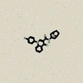 CN1C2CCC1CC(NC(=O)c1cn(-c3ccc(F)cc3)c3ccccc3c1=O)C2